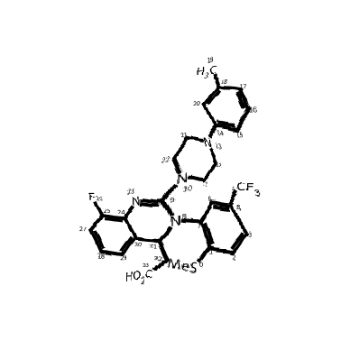 CSc1ccc(C(F)(F)F)cc1N1C(N2CCN(c3cccc(C)c3)CC2)=Nc2c(F)cccc2C1CC(=O)O